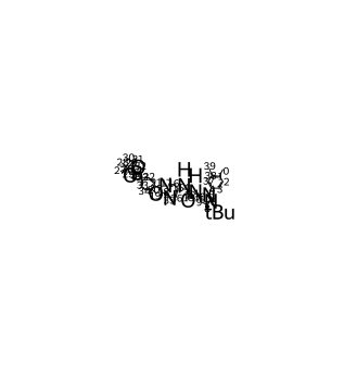 Cc1ccc(-n2nc(C(C)(C)C)cc2NC(=O)Nc2cnc(Oc3ccc(B4OC(C)(C)C(C)(C)O4)cc3)nc2)cc1C